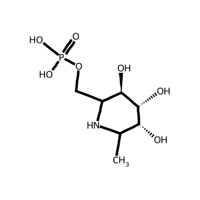 CC1NC(COP(=O)(O)O)[C@@H](O)[C@H](O)[C@@H]1O